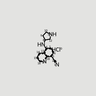 Cl.N#Cc1ccc(NC2CCNC2)c2cccnc12